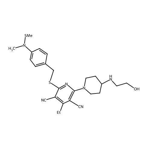 CCc1c(C#N)c(SCc2ccc(N(C)SC)cc2)nc(N2CCC(NCCO)CC2)c1C#N